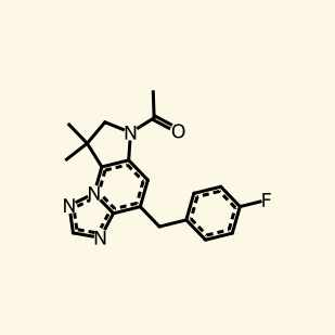 CC(=O)N1CC(C)(C)c2c1cc(Cc1ccc(F)cc1)c1ncnn21